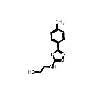 Cc1ccc(-c2nnc(NCCO)o2)cc1